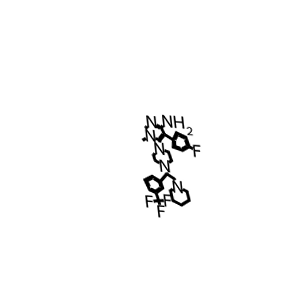 CN1CN=C(N)C(c2ccc(F)cc2)=C1N1CCN(C(CN2CCCCC2)c2cccc(C(F)(F)F)c2)CC1